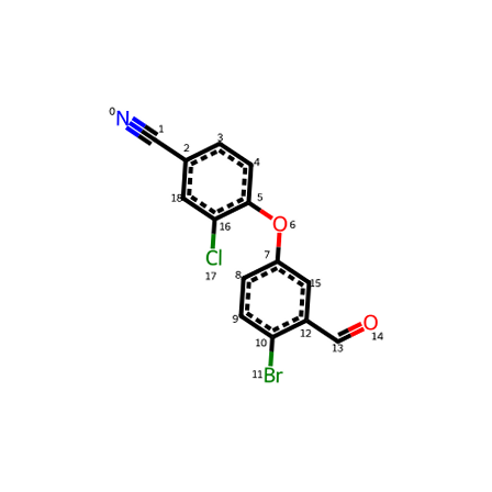 N#Cc1ccc(Oc2ccc(Br)c(C=O)c2)c(Cl)c1